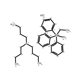 CCCCN(CCCC)CCCC.CCP(P)(c1ccccc1)(c1ccccc1)c1ccccc1.Cl